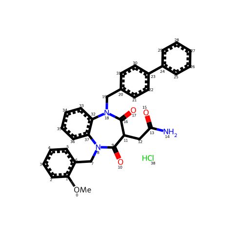 COc1ccccc1CN1C(=O)C(CC(N)=O)C(=O)N(Cc2ccc(-c3ccccc3)cc2)c2ccccc21.Cl